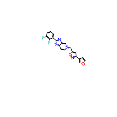 Fc1cccc(-c2nc3ccn(Cc4cc(-c5ccoc5)no4)cc-3n2)c1F